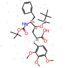 COc1ccc(C[C@H](C[C@H](O[Si](C)(C)C(C)(C)C)[C@H](Cc2ccccc2)NC(=O)OC(C)(C)C)C(=O)O)c(OC)c1OC